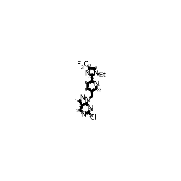 CCn1cc(C(F)(F)F)nc1-c1ccc(Cn2ncc3cnc(Cl)nc32)cn1